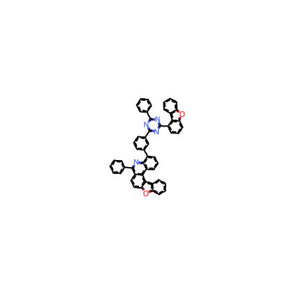 c1ccc(-c2nc(-c3cccc(-c4cccc5c4nc(-c4ccccc4)c4ccc6oc7ccccc7c6c45)c3)nc(-c3cccc4oc5ccccc5c34)n2)cc1